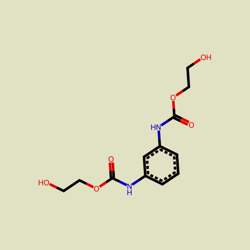 O=C(Nc1cccc(NC(=O)OCCO)c1)OCCO